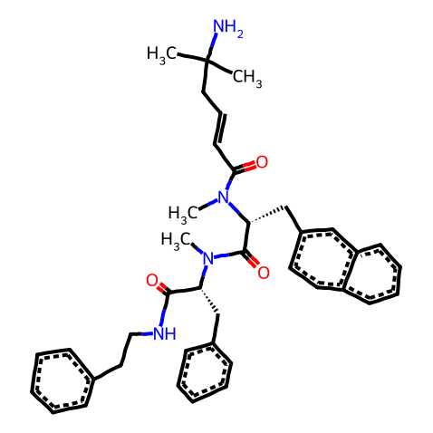 CN(C(=O)C=CCC(C)(C)N)[C@H](Cc1ccc2ccccc2c1)C(=O)N(C)[C@H](Cc1ccccc1)C(=O)NCCc1ccccc1